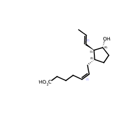 C/C=C/[C@@H]1[C@@H](C/C=C\CCCC(=O)O)CC[C@H]1O